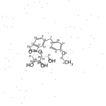 CCOc1ccc(Cc2ccc3c(c2)[C@]2(C[C@@H](O)[C@H](O)[C@@H](CO)O2)OC3)cc1